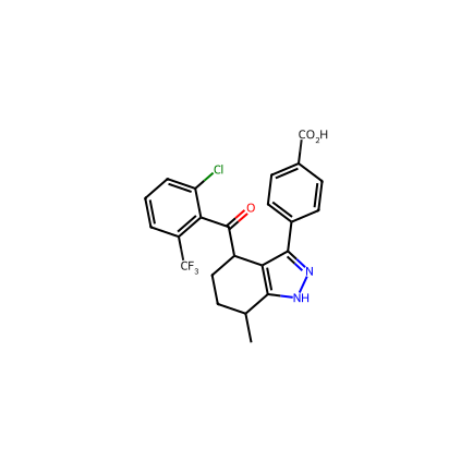 CC1CCC(C(=O)c2c(Cl)cccc2C(F)(F)F)c2c(-c3ccc(C(=O)O)cc3)n[nH]c21